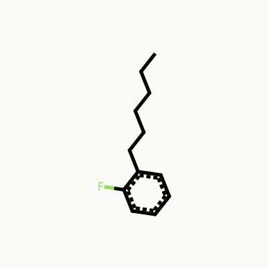 CCCCCCc1ccccc1F